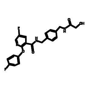 O=C(CO)NCc1ccc(CNC(=O)c2cc(F)cnc2Oc2ccc(F)cc2)cc1